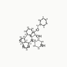 OC(COCc1ccccc1)CN(c1ncnc2scc(-c3ccccc3)c12)C1CCNCC1